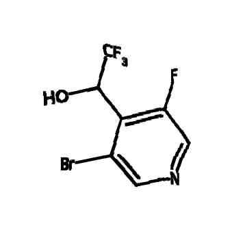 OC(c1c(F)cncc1Br)C(F)(F)F